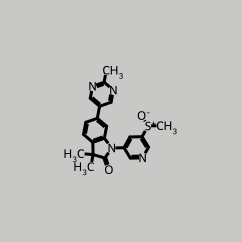 Cc1ncc(-c2ccc3c(c2)N(c2cncc([S+](C)[O-])c2)C(=O)C3(C)C)cn1